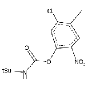 Cc1cc([N+](=O)[O-])c(OC(=O)NC(C)(C)C)cc1Cl